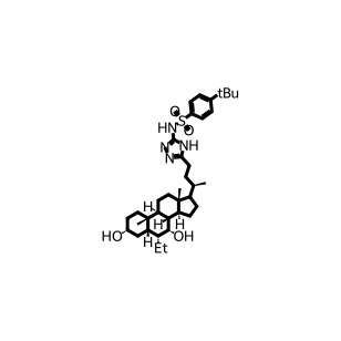 CC[C@H]1[C@@H](O)[C@@H]2[C@H](CC[C@]3(C)C([C@H](C)CCc4nnc(NS(=O)(=O)c5ccc(C(C)(C)C)cc5)[nH]4)CC[C@@H]23)[C@@]2(C)CC[C@@H](O)C[C@@H]12